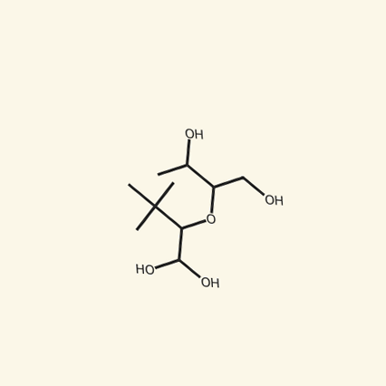 CC(O)C(CO)OC(C(O)O)C(C)(C)C